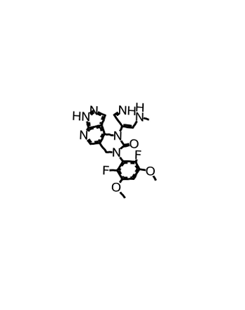 CN/C=C(\C=N)N1C(=O)N(c2c(F)c(OC)cc(OC)c2F)Cc2cnc3[nH]ncc3c21